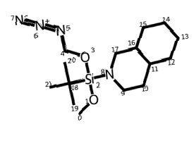 CO[Si](OCN=[N+]=[N-])(N1CCC2CCCCC2C1)C(C)(C)C